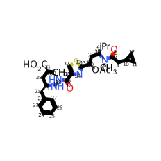 CC(=O)O[C@H](CC(C(C)C)N(C)C(=O)CC1CC1)c1nc(C(=O)NN[C@@H](Cc2ccccc2)C[C@H](C)C(=O)O)cs1